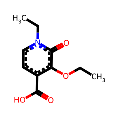 CCOc1c(C(=O)O)ccn(CC)c1=O